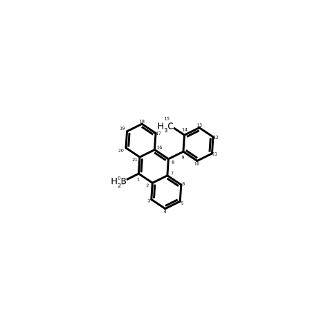 Bc1c2ccccc2c(-c2ccccc2C)c2ccccc12